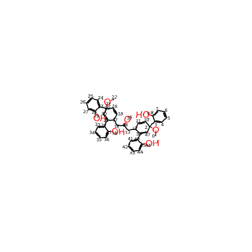 COC1(c2ccccc2O)C=CC(CC(=O)CC2C=CC(OC)(c3ccccc3O)C=C2c2ccccc2O)C(c2ccccc2O)=C1